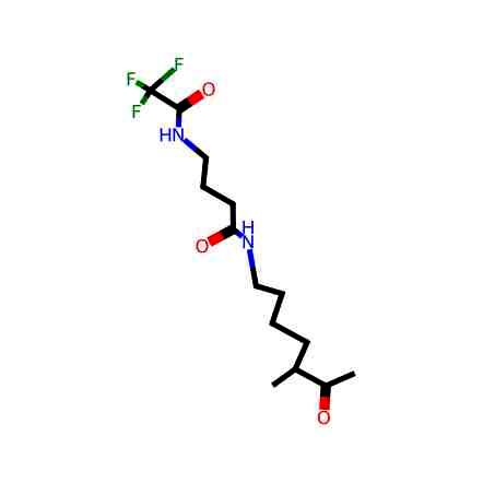 CC(=O)C(C)CCCCNC(=O)CCCNC(=O)C(F)(F)F